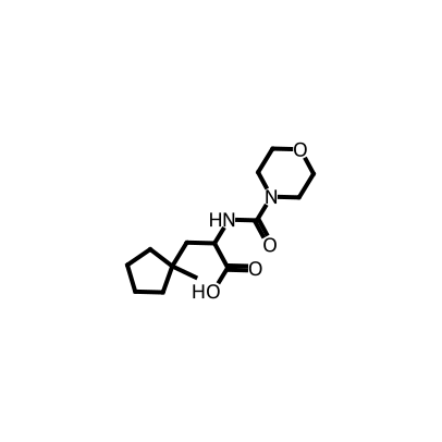 CC1(CC(NC(=O)N2CCOCC2)C(=O)O)CCCC1